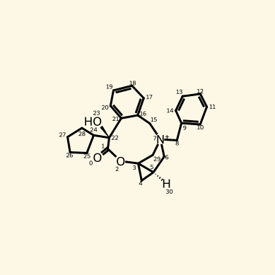 O=C1OC23C[C@@H]2C[N+](Cc2ccccc2)(Cc2ccccc2[C@@]1(O)C1CCCC1)C3